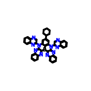 c1ccc2nc(N3c4cc(C5CCCCC5)cc5c4B(c4nc6ccccc6nc43)c3nc4ccccc4nc3N5c3cnc4ccccc4n3)cnc2c1